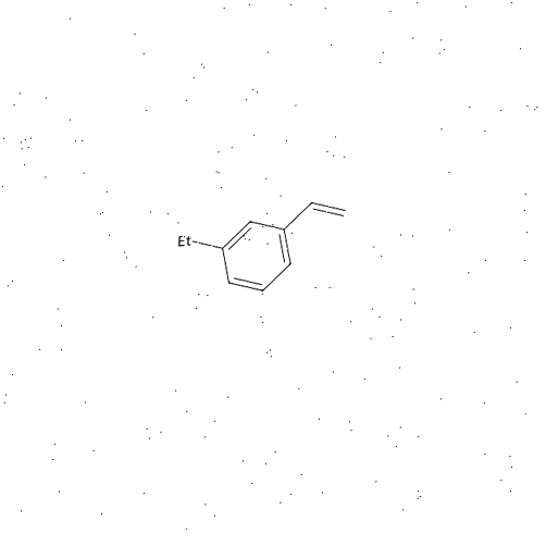 C=Cc1c[c]cc(CC)c1